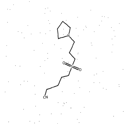 N#CCCCCS(=O)(=O)CCCN1CCCC1